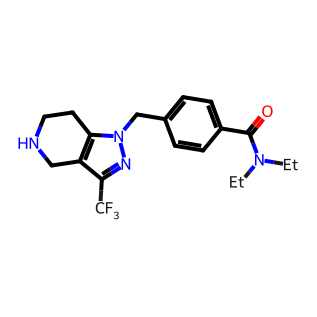 CCN(CC)C(=O)c1ccc(Cn2nc(C(F)(F)F)c3c2CCNC3)cc1